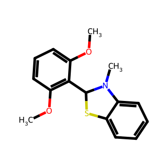 COc1cccc(OC)c1C1Sc2ccccc2N1C